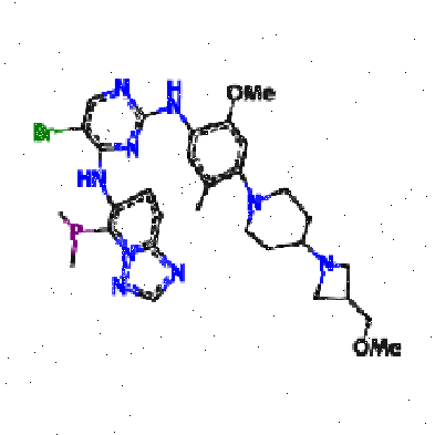 COCC1CN(C2CCN(c3cc(OC)c(Nc4ncc(Br)c(Nc5ccc6ncnn6c5P(C)C)n4)cc3C)CC2)C1